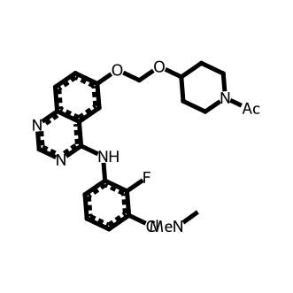 CC(=O)N1CCC(OCOc2ccc3ncnc(Nc4cccc(Cl)c4F)c3c2)CC1.CNC